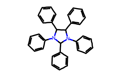 c1ccc(C2C(c3ccccc3)N(c3ccccc3)C(c3ccccc3)N2c2ccccc2)cc1